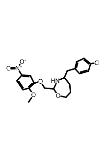 COc1ccc([N+](=O)[O-])cc1OCC1NC(Cc2ccc(Cl)cc2)CCCO1